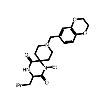 CCN1C(=O)C(CC(C)C)NC(=O)C12CCN(Cc1ccc3c(c1)OCCO3)CC2